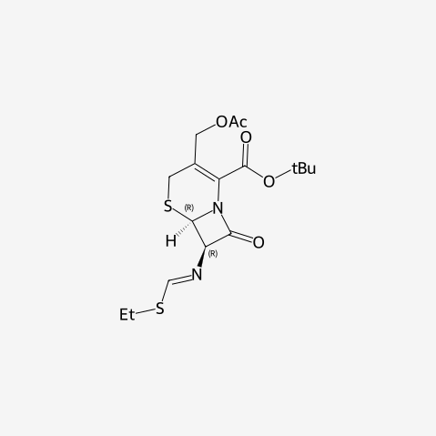 CCSC=N[C@@H]1C(=O)N2C(C(=O)OC(C)(C)C)=C(COC(C)=O)CS[C@H]12